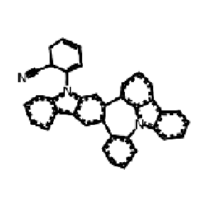 N#CC1CC=CC=C1n1c2ccccc2c2cc3c(cc21)-c1cccc2c4ccccc4n(c12)-c1ccccc1-3